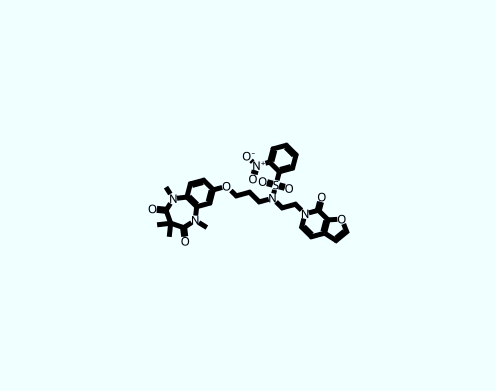 CN1C(=O)C(C)(C)C(=O)N(C)c2cc(OCCCN(CCn3ccc4ccoc4c3=O)S(=O)(=O)c3ccccc3[N+](=O)[O-])ccc21